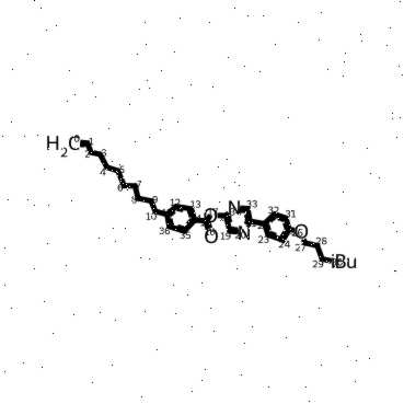 C=CCCCCCCCCCc1ccc(C(=O)Oc2cnc(-c3ccc(OCCCC(C)CC)cc3)cn2)cc1